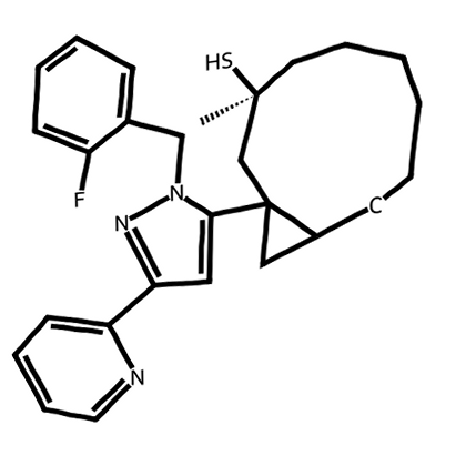 C[C@]1(S)CCCCCCC2CC2(c2cc(-c3ccccn3)nn2Cc2ccccc2F)C1